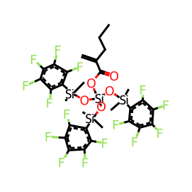 C=C(CCC)C(=O)O[Si](O[Si](C)(C)c1c(F)c(F)c(F)c(F)c1F)(O[Si](C)(C)c1c(F)c(F)c(F)c(F)c1F)O[Si](C)(C)c1c(F)c(F)c(F)c(F)c1F